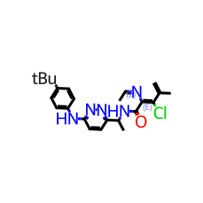 C=C(C)/C(Cl)=C(\N=C/C)C(=O)NC(C)c1ccc(Nc2ccc(C(C)(C)C)cc2)nn1